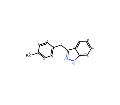 FC(F)(F)c1ccc(Cc2n[nH]c3ccccc23)cc1